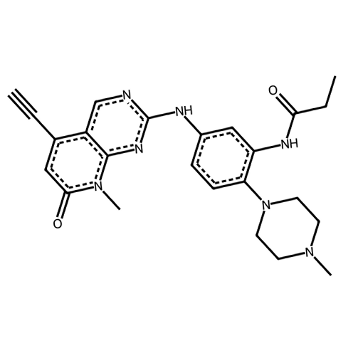 C#Cc1cc(=O)n(C)c2nc(Nc3ccc(N4CCN(C)CC4)c(NC(=O)CC)c3)ncc12